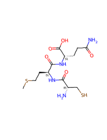 CSCC[C@H](NC(=O)[C@@H](N)CS)C(=O)N[C@@H](CCC(N)=O)C(=O)O